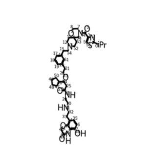 CC(C)c1nc(C(=O)N2CCOC3(CCN(CCc4cccc(CCOC(CC(=O)NCCNCCc5ccc(O)c6c5OCC(=O)N6)C5CCCC5)c4)CC3)C2)cs1